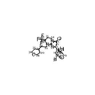 O=c1cc(N2C[C@@H]3C[C@H]2CO3)nc2n1CC[C@@H](C(F)(F)F)N2CCC1CCOCC1